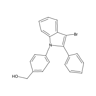 OCc1ccc(-n2c(-c3ccccc3)c(Br)c3ccccc32)cc1